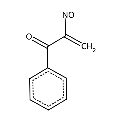 C=C(N=O)C(=O)c1ccccc1